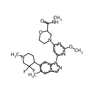 CNC(=O)C1CN(c2cc(-n3ncc4cc(C)c(C5CCN(C)CC5(F)F)cc43)nc(OC)n2)CCO1